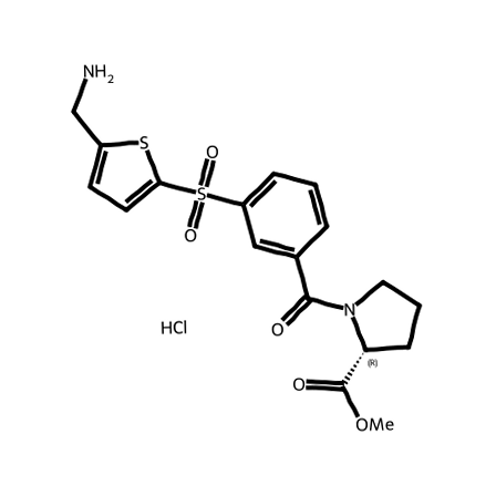 COC(=O)[C@H]1CCCN1C(=O)c1cccc(S(=O)(=O)c2ccc(CN)s2)c1.Cl